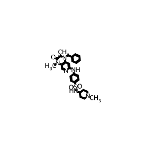 C[C@@H]1C(=O)N(C)c2cnc(Nc3ccc(S(=O)(=O)NC4CCN(C)CC4)cc3)cc2N1Cc1ccccc1